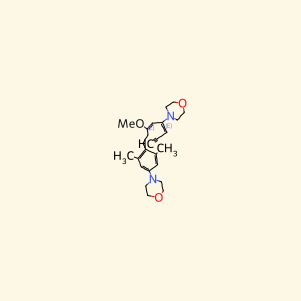 C#C/C=C(\C=C(/CCc1c(C)cc(N2CCOCC2)cc1C)OC)N1CCOCC1